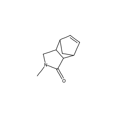 CN1CC2C3C=CC(C3)C2C1=O